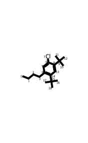 CCCCc1cc(Cl)c(C(C)(C)C)cc1C(C)(C)C